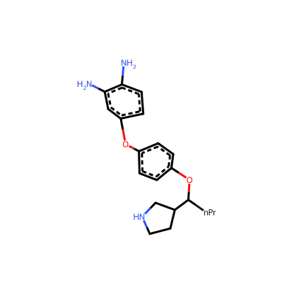 CCCC(Oc1ccc(Oc2ccc(N)c(N)c2)cc1)C1CCNC1